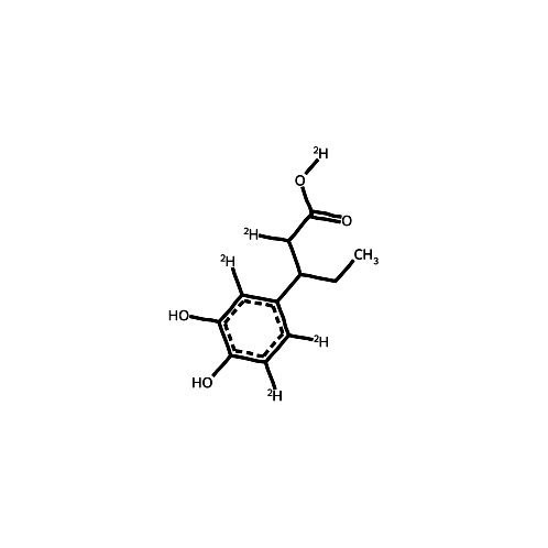 [2H]OC(=O)C([2H])C(CC)c1c([2H])c([2H])c(O)c(O)c1[2H]